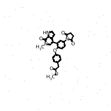 COC(=O)Cc1ccc(Oc2ccc(N3C(=O)CCC3=O)cc2-c2cn(C)c(=O)c3[nH]ccc23)cc1